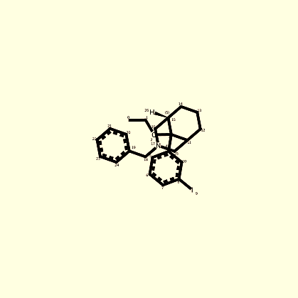 CCOC1(c2cccc(I)c2)C2CCC[C@H]1CN(Cc1ccccc1)C2